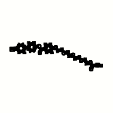 CCC1CCC(C2CCC(OC(=O)c3ccc(OCCOCCOCCOCCOC(=O)C(C)CC)cc3)CC2)CC1